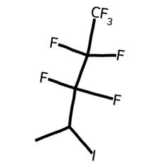 CC(I)C(F)(F)C(F)(F)C(F)(F)F